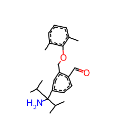 Cc1cccc(C)c1OCc1cc(C(N)(C(C)C)C(C)C)ccc1C=O